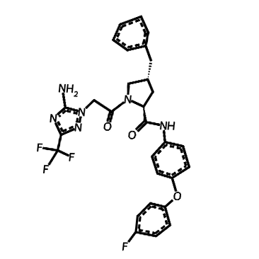 Nc1nc(C(F)(F)F)nn1CC(=O)N1C[C@H](Cc2ccccc2)C[C@H]1C(=O)Nc1ccc(Oc2ccc(F)cc2)cc1